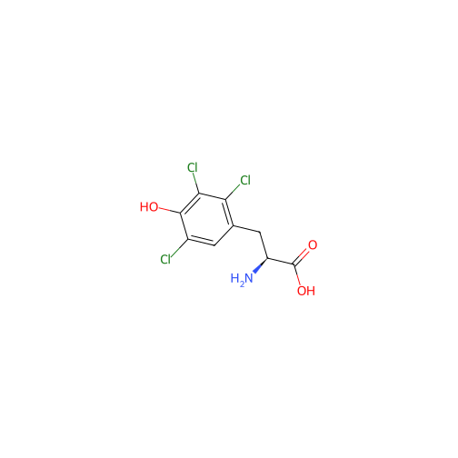 N[C@@H](Cc1cc(Cl)c(O)c(Cl)c1Cl)C(=O)O